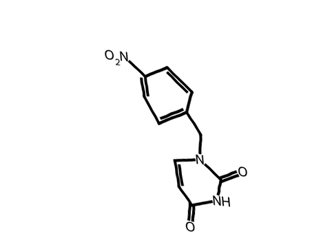 O=c1ccn(Cc2ccc([N+](=O)[O-])cc2)c(=O)[nH]1